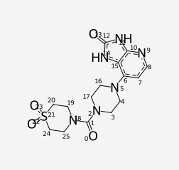 O=C(N1CCN(c2ccnc3[nH]c(=O)[nH]c23)CC1)N1CCS(=O)(=O)CC1